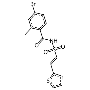 Cc1cc(Br)ccc1C(=O)NS(=O)(=O)C=Cc1cccs1